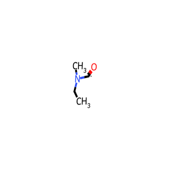 CCN(C)[C]=O